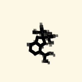 CN(C)C1CCNC2CC(P(=O)(O)O)(P(=O)(O)O)CC21